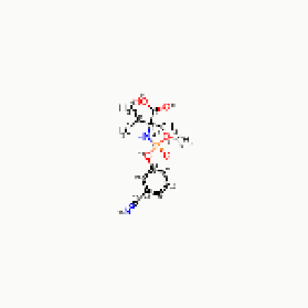 COP(=O)(NC(C)(C(=O)O)C(C)C)Oc1cccc(C#N)c1